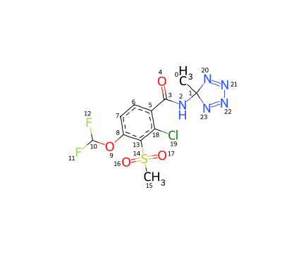 CC1(NC(=O)c2ccc(OC(F)F)c(S(C)(=O)=O)c2Cl)N=NN=N1